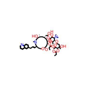 CCC(=O)O[C@@H]1CC(=O)OCCC(/C=C/Cc2ccc3ncccc3c2)CN(C)C[C@H](O)[C@H](C)C[C@H](CC=O)[C@H](O[C@@H]2OC(C)[C@@H](O[C@H]3CC(C)(O)[C@@H](OC(=O)CC)C(C)O3)C(N(C)C)C2O)[C@H]1OC